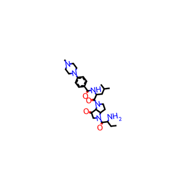 CCC(N)C(=O)N1CC(=O)C2C1CCN2C(=O)C(CC(C)C)NC(=O)c1ccc(N2CCN(C)CC2)cc1